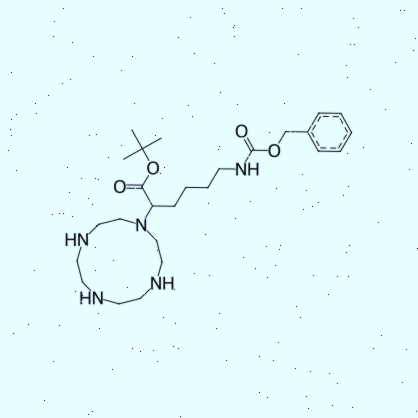 CC(C)(C)OC(=O)C(CCCCNC(=O)OCc1ccccc1)N1CCNCCNCCNCC1